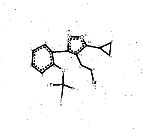 FC(F)(F)Oc1ccccc1-c1noc(C2CC2)c1CCBr